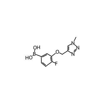 Cn1cc(COc2cc(B(O)O)ccc2F)nn1